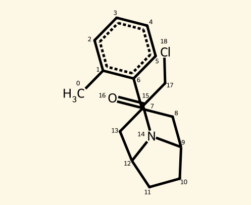 Cc1ccccc1C1CC2CCC(C1)N2C(=O)CCl